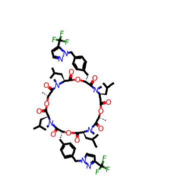 CC(C)C[C@H]1C(=O)O[C@H](Cc2ccc(Cn3nccc3C(F)(F)F)cc2)C(=O)N(C)[C@@H](CC(C)C)C(=O)O[C@H](C)C(=O)N(C)[C@@H](CC(C)C)C(=O)O[C@H](Cc2ccc(Cn3ccc(C(F)(F)F)n3)cc2)C(=O)N(C)[C@@H](CC(C)C)C(=O)O[C@H](C)C(=O)N1C